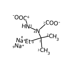 CCC(C)(C)N(NC(=O)[O-])C(=O)[O-].[Na+].[Na+]